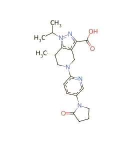 CC(C)n1nc(C(=O)O)c2c1[C@@H](C)CN(c1ccc(N3CCCC3=O)cn1)C2